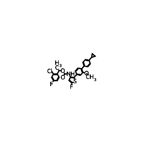 COc1cc(-c2sc(F)cc2NC(=O)OC(C)c2ccc(F)cc2Cl)ccc1-c1ccc(C2CC2)cc1